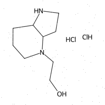 Cl.Cl.OCCN1CCCC2NCCC21